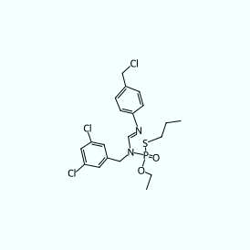 CCCSP(=O)(OCC)N(C=Nc1ccc(CCl)cc1)Cc1cc(Cl)cc(Cl)c1